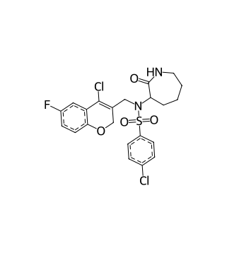 O=C1NCCCCC1N(CC1=C(Cl)c2cc(F)ccc2OC1)S(=O)(=O)c1ccc(Cl)cc1